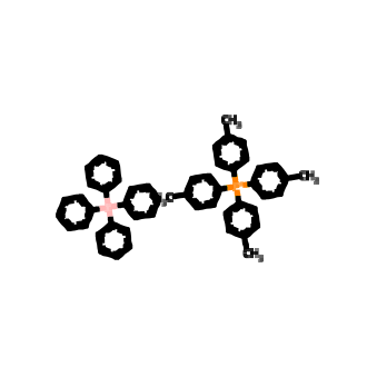 Cc1ccc([P+](c2ccc(C)cc2)(c2ccc(C)cc2)c2ccc(C)cc2)cc1.c1ccc([B-](c2ccccc2)(c2ccccc2)c2ccccc2)cc1